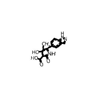 Cc1c(-c2ccc3[nH]ncc3c2)[nH]c(=O)c(C(=O)O)c1O